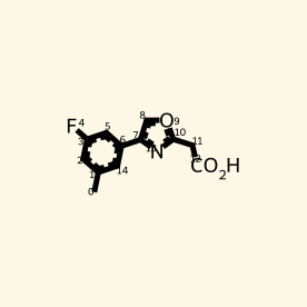 Cc1cc(F)cc(-c2coc(CC(=O)O)n2)c1